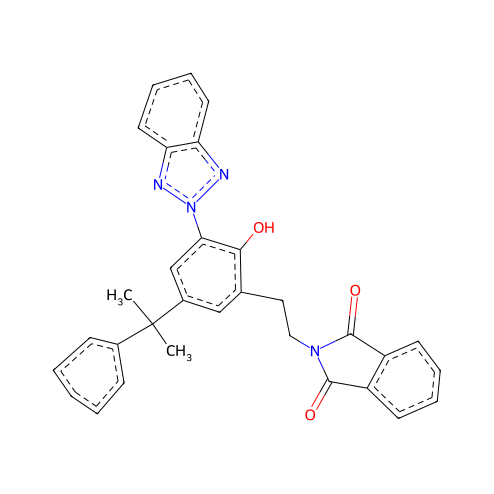 CC(C)(c1ccccc1)c1cc(CCN2C(=O)c3ccccc3C2=O)c(O)c(-n2nc3ccccc3n2)c1